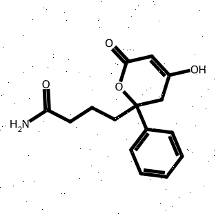 NC(=O)CCCC1(c2ccccc2)CC(O)=CC(=O)O1